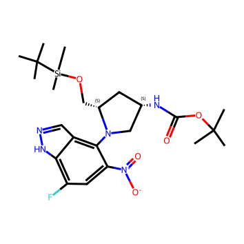 CC(C)(C)OC(=O)N[C@H]1C[C@@H](CO[Si](C)(C)C(C)(C)C)N(c2c([N+](=O)[O-])cc(F)c3[nH]ncc23)C1